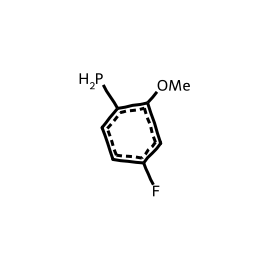 COc1cc(F)ccc1P